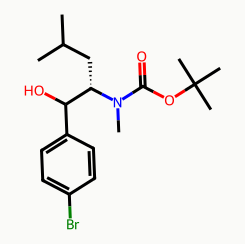 CC(C)C[C@@H](C(O)c1ccc(Br)cc1)N(C)C(=O)OC(C)(C)C